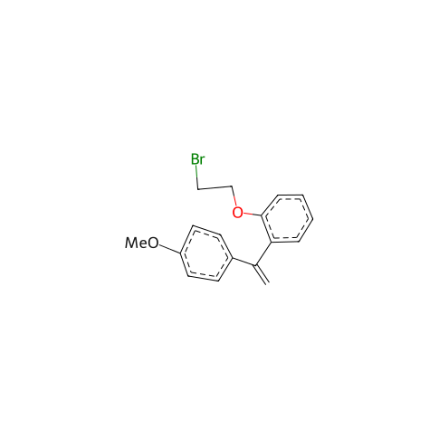 C=C(c1ccc(OC)cc1)c1ccccc1OCCBr